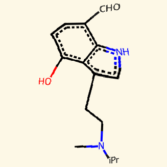 CC(C)N(C)CCc1c[nH]c2c(C=O)ccc(O)c12